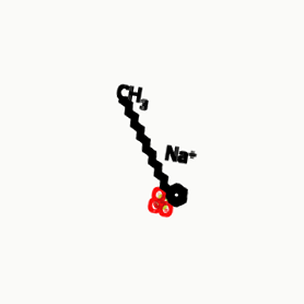 CCCCCCCCCCCCCCCCc1ccccc1S(=O)(=O)[O-].[Na+]